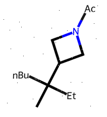 CCCCC(C)(CC)C1CN(C(C)=O)C1